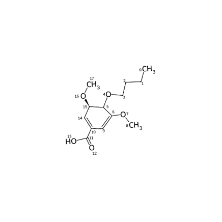 CCCCOC1C(OC)=CC(C(=O)O)=C[C@H]1OC